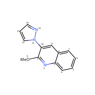 COc1nc2ccccc2cc1-n1cc[c]n1